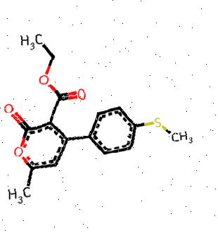 CCOC(=O)c1c(-c2ccc(SC)cc2)cc(C)oc1=O